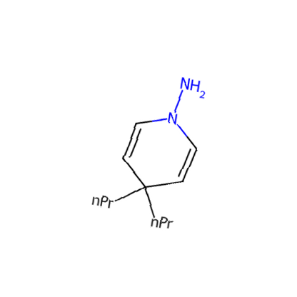 CCCC1(CCC)C=CN(N)C=C1